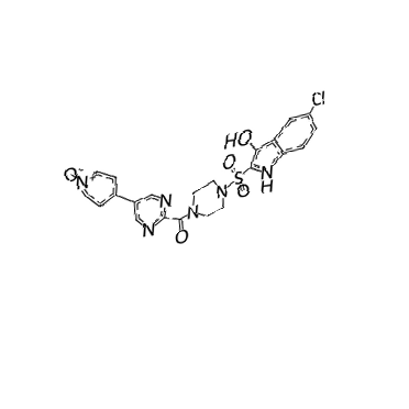 O=C(c1ncc(-c2cc[n+]([O-])cc2)cn1)N1CCN(S(=O)(=O)c2[nH]c3ccc(Cl)cc3c2O)CC1